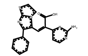 Nc1nccc(C(=Cc2c(-c3ccccc3)nc3sccn23)C(=O)O)n1